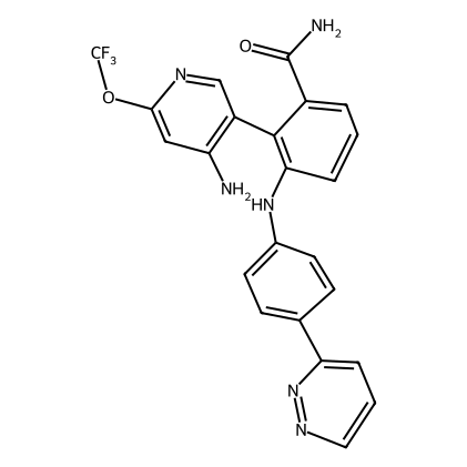 NC(=O)c1cccc(Nc2ccc(-c3cccnn3)cc2)c1-c1cnc(OC(F)(F)F)cc1N